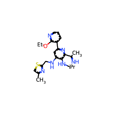 CCOc1ncccc1-c1cc(NCc2nc(C)cs2)c(NC(C)C)c(C(C)=N)n1